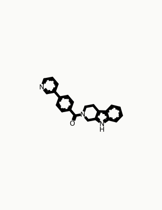 O=C(c1ccc(-c2cccnc2)cc1)N1CCc2c([nH]c3ccccc23)C1